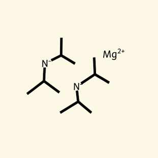 CC(C)[N-]C(C)C.CC(C)[N-]C(C)C.[Mg+2]